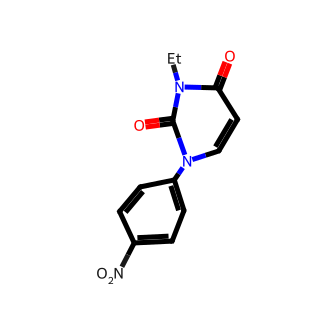 CCn1c(=O)ccn(-c2ccc([N+](=O)[O-])cc2)c1=O